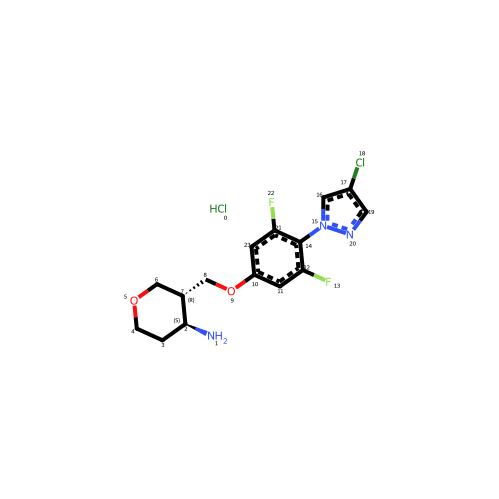 Cl.N[C@H]1CCOC[C@@H]1COc1cc(F)c(-n2cc(Cl)cn2)c(F)c1